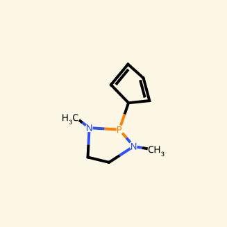 CN1CCN(C)P1C1C=CC=C1